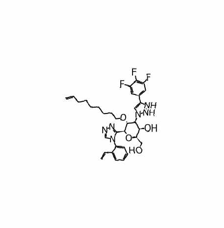 C=CCCCCCCCO[C@@H]1[C@@H](N2C=C(c3cc(F)c(F)c(F)c3)NN2)[C@@H](O)[C@@H](CO)O[C@H]1c1nncn1-c1ccccc1C=C